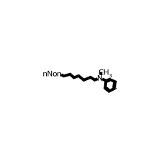 CCCCCCCCCCCCCCCCN(C)c1cc[c]cc1